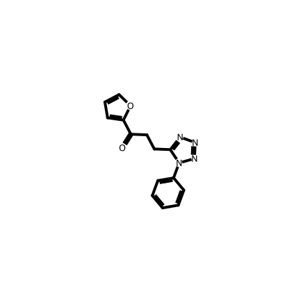 O=C(CCc1nnnn1-c1ccccc1)c1ccco1